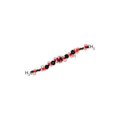 C=CC(=O)OCCCCOC(=O)Oc1ccc(C(=O)Oc2ccc(C(=O)O[C@H]3CO[C@H]4[C@@H]3OC[C@H]4OC(=O)c3ccc(OC(O)c4ccc(OC(=O)OCCCCOC(=O)C=C)cc4)cc3)cc2)cc1